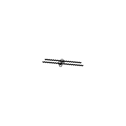 CCCCCCCCCCCCCCCCCC(=O)OCCCCCCCCCCCCCCCC.CCCCCCCCCCCCCCCCCCCCCC(=O)OCCCCCCCCCCCCCCCC